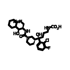 CNC[C@@H](NC(=O)N1CCC[C@@H]([C@@](O)(CCCNC(=O)O)c2cccc(F)c2Cl)C1)[C@@H](O)C1CCCCC1